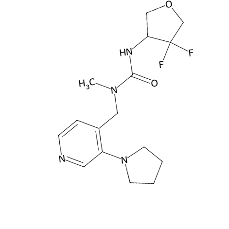 CN(Cc1ccncc1N1CCCC1)C(=O)NC1COCC1(F)F